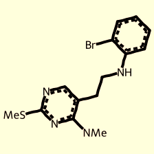 CNc1nc(SC)ncc1CCNc1ccccc1Br